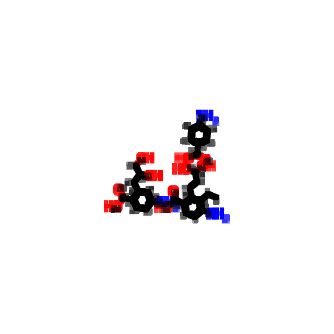 CCc1c(N)ccc(C(=O)O)c1CCC(O)O.Nc1ccc(C(=O)O)c(CC(O)CO)c1.Nc1ccc(C(=O)O)cc1